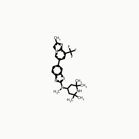 Cc1cn2cc(-c3ccc4nc(N(C)C5CC(C)(C)NC(C)(C)C5)sc4c3)cc(C(F)(F)F)c2n1